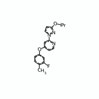 Cc1ccc(Oc2ccnc(-n3ccc(OC(C)C)n3)c2)cc1F